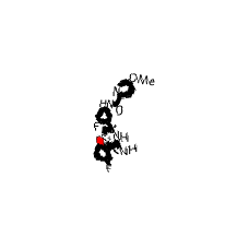 COc1ccc(C(=O)Nc2ccc(F)c([C@]3(C)C[S+]([O-])[C@@](C)(c4cccc(F)c4)C(=N)N3)c2)nc1